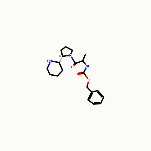 CC(NC(=O)OCc1ccccc1)C(=O)N1CCC[C@H]1C1CCCCN1